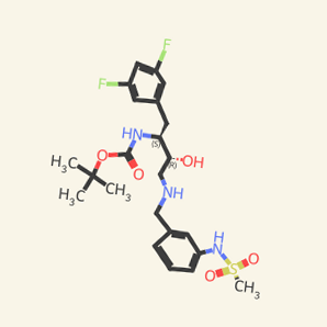 CC(C)(C)OC(=O)N[C@@H](Cc1cc(F)cc(F)c1)[C@H](O)CNCc1cccc(NS(C)(=O)=O)c1